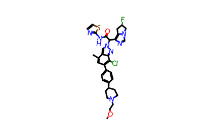 COCCN1CCC(c2ccc(-c3cc(C)c4cn(C(C(=O)Nc5nccs5)c5ncn6c5C[C@@H](F)C6)nc4c3Cl)cc2)CC1